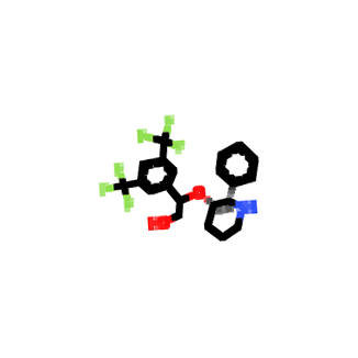 OCC(O[C@H]1CCCN[C@H]1c1ccccc1)c1cc(C(F)(F)F)cc(C(F)(F)F)c1